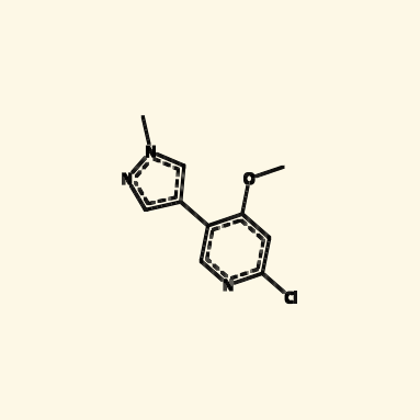 COc1cc(Cl)ncc1-c1cnn(C)c1